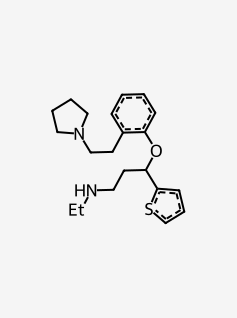 CCNCCC(Oc1ccccc1CCN1CCCC1)c1cccs1